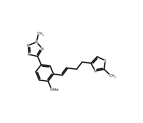 COc1ccc(-c2nnn(C)n2)cc1/C=C/CCc1csc(C)n1